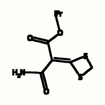 CC(C)OC(=O)C(C(N)=O)=C1SCS1